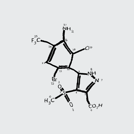 CS(=O)(=O)c1c(C(=O)O)n[nH]c1-c1c(Br)cc(C(F)(F)F)c(N)c1Cl